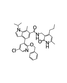 CCCc1cc(C)[nH]c(=O)c1CNC(=O)c1cc(-c2cc(Cl)cnc2OCc2ccccc2)c2ccn(C(C)C)c2c1C